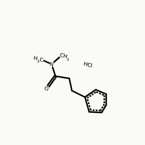 CN(C)C(=O)CCc1ccccc1.Cl